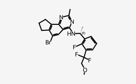 COCC(F)(F)c1cccc([C@@H](C)Nc2nc(C)nc3c4c(c(Br)cc23)CCC4)c1F